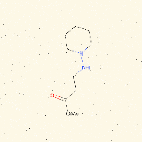 COC(=O)CCNN1CCCCC1